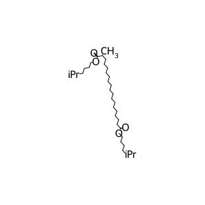 CC(C)CCCCOC(=O)CCCCCCCCCCCCCCCCC(C)C(=O)OCCCCC(C)C